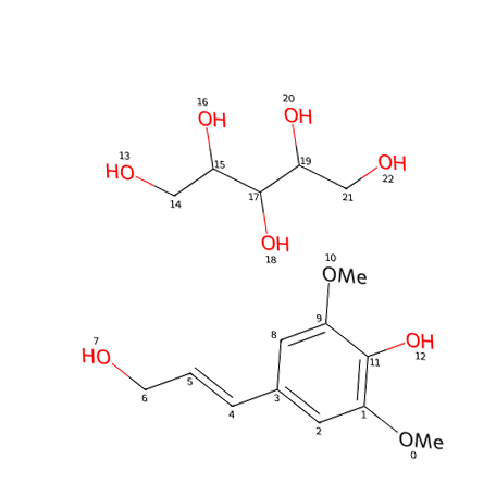 COc1cc(/C=C/CO)cc(OC)c1O.OCC(O)C(O)C(O)CO